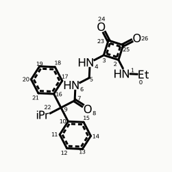 CCNc1c(NCNC(=O)C(c2ccccc2)(c2ccccc2)C(C)C)c(=O)c1=O